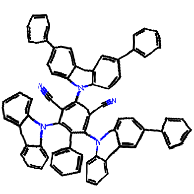 N#Cc1c(-n2c3ccc(-c4ccccc4)cc3c3cc(-c4ccccc4)ccc32)c(C#N)c(-n2c3ccccc3c3cc(-c4ccccc4)ccc32)c(-c2ccccc2)c1-n1c2ccccc2c2ccccc21